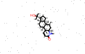 C[C@H]1C[C@H]2N(C)C(=O)C=C[C@]2(C)[C@H]2CC[C@]3(C)[C@@H](C(C)(C)O)CC[C@H]3[C@H]12